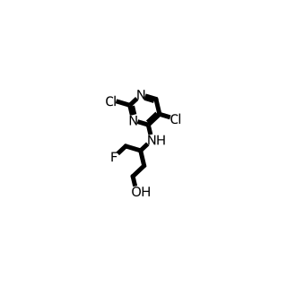 OCCC(CF)Nc1nc(Cl)ncc1Cl